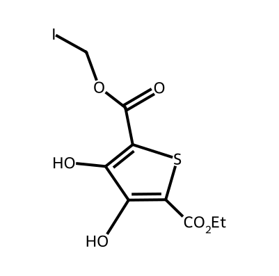 CCOC(=O)c1sc(C(=O)OCI)c(O)c1O